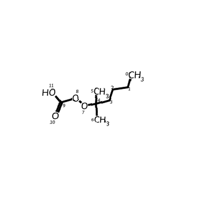 CCCCC(C)(C)OOC(=O)O